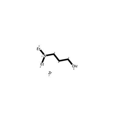 CCN(CC)CCCO.[Zr]